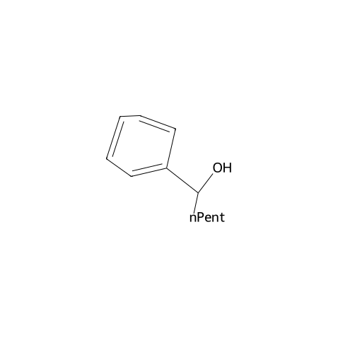 CCCCCC(O)c1ccccc1